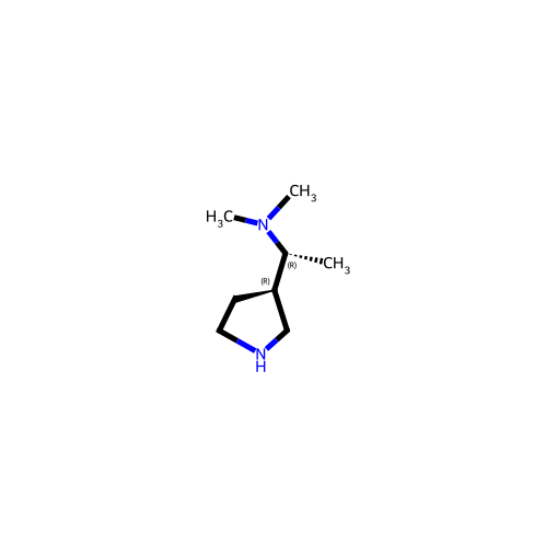 C[C@H]([C@@H]1CCNC1)N(C)C